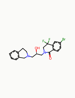 O=C1c2ccc(Br)cc2C(F)(F)CN1C[C@H](O)CN1CCc2ccccc2C1